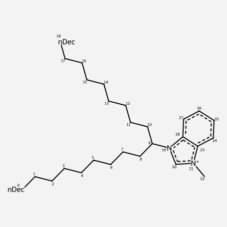 CCCCCCCCCCCCCCCCCCC(CCCCCCCCCCCCCCCCCC)n1c[n+](C)c2ccccc21